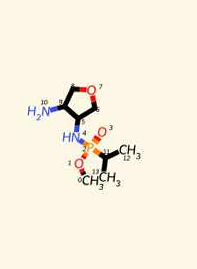 COP(=O)(NC1COCC1N)C(C)C